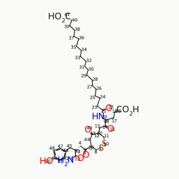 NC(=O)[C@@H](CC(=O)[C@@H]1CSSC[C@H](CC(=O)[C@H](CCC(=O)O)NC(=O)CCCCCCCCCCCCCCCCCCC(=O)O)C(=O)C1)Cc1ccc(O)cc1